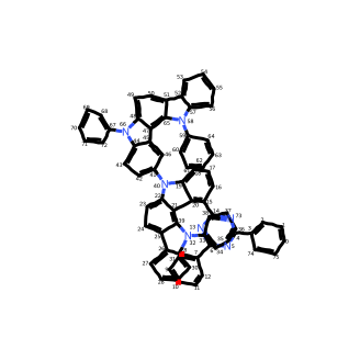 c1ccc(-c2nc(-c3ccccc3)nc(-c3cccc4c3c3c(ccc5c6ccccc6n(-c6ccccc6)c53)n4-c3ccc4c(c3)c3c(ccc5c6ccccc6n(-c6ccccc6)c53)n4-c3ccccc3)n2)cc1